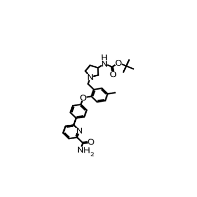 Cc1ccc(Oc2ccc(-c3cccc(C(N)=O)n3)cc2)c(CN2CCC(NC(=O)OC(C)(C)C)C2)c1